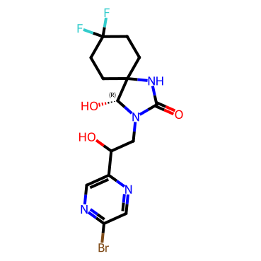 O=C1NC2(CCC(F)(F)CC2)[C@@H](O)N1CC(O)c1cnc(Br)cn1